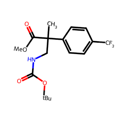 COC(=O)C(C)(CNC(=O)OC(C)(C)C)c1ccc(C(F)(F)F)cc1